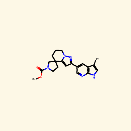 CC(C)c1c[nH]c2ncc(-c3cc4n(n3)CCCC43CCN(C(=O)OC(C)(C)C)C3)cc12